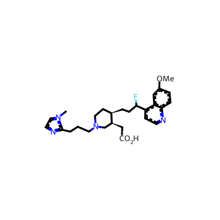 COc1ccc2nccc(C(F)CC[C@@H]3CCN(CCCc4nccn4C)C[C@@H]3CC(=O)O)c2c1